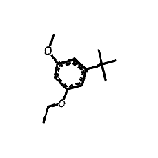 CCOc1cc(OC)cc(C(C)(C)C)c1